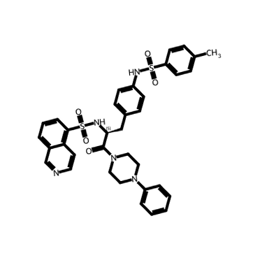 Cc1ccc(S(=O)(=O)Nc2ccc(C[C@H](NS(=O)(=O)c3cccc4cnccc34)C(=O)N3CCN(c4ccccc4)CC3)cc2)cc1